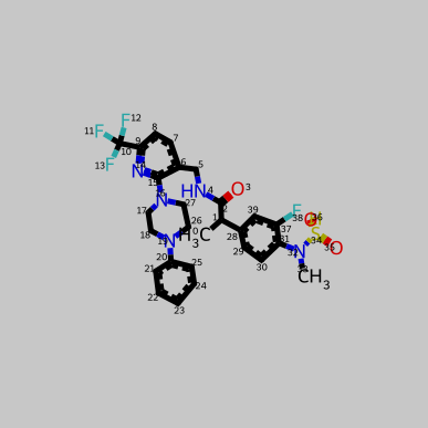 CC(C(=O)NCc1ccc(C(F)(F)F)nc1N1CCN(c2ccccc2)CC1)c1ccc(N(C)[SH](=O)=O)c(F)c1